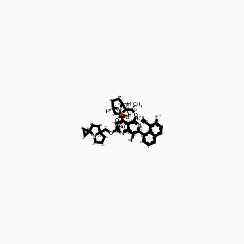 C#Cc1c(F)ccc2cccc(-c3nc4c5c(nc(OCC67CCCN6C6(CC6)CC7)nc5c3F)N3C[C@H]5CC[C@@H]([C@H]3[C@H](C)O4)N5C(=O)OC(C)(C)C)c12